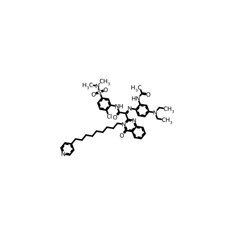 CCN(CC)c1ccc(/N=C(/C(=O)Nc2cc(S(=O)(=O)N(C)C)ccc2Cl)c2nc3ccccc3c(=O)n2CCCCCCCCCc2ccncc2)c(NC(C)=O)c1